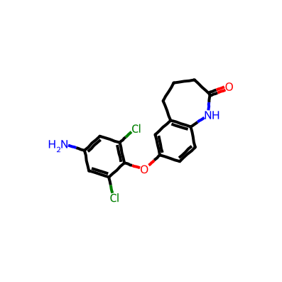 Nc1cc(Cl)c(Oc2ccc3c(c2)CCCC(=O)N3)c(Cl)c1